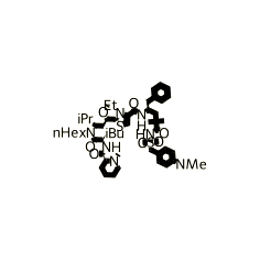 CCCCCCN(C(=O)[C@@H](NC(=O)[C@H]1CCCCN1C)[C@@H](C)CC)[C@H](C[C@@H](OCC)c1nc(C(=O)N[C@@H](Cc2ccccc2)CC(C)(C)C(=O)NS(=O)(=O)Cc2ccc(NC)cc2)cs1)C(C)C